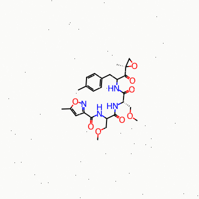 COCC(NC(=O)c1cc(C)on1)C(=O)N[C@@H](COC)C(=O)NC(Cc1ccc(C)cc1)C(=O)[C@@]1(C)CO1